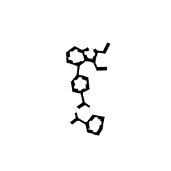 C=Cc1oc2cccc(-c3ccc(/C(C)=N/C(=C)c4ccccc4)cc3)c2c1C=C